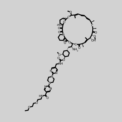 CCOCCOCCNC(=O)c1cnc(N2CCN(c3ncc(CNC(=O)O[C@@H]4CC[C@@H](C[C@@H](N)[C@@H]5CC(=O)[C@H](C)/C=C(\C)[C@@H](O)[C@@H](OC)C(=O)[C@H](C)C[C@H](C)/C=C/C=C/C=C(\C)C(OC)C[C@@H]6CC[C@@H](C)[C@@](O)(O6)C(=O)C(=O)N6CCCC[C@H]6C(=O)O5)C[C@H]4OC)cn3)CC2)nc1